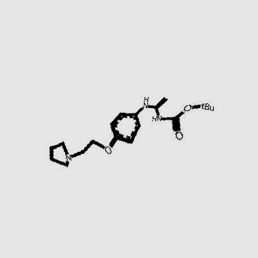 C=C(NC(=O)OC(C)(C)C)Nc1ccc(OCCN2CCCC2)cc1